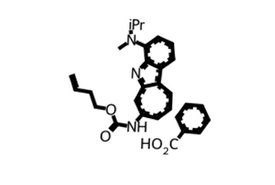 C=CCCOC(=O)Nc1cccc2c3cccc(N(C)C(C)C)c3nc-2c1.O=C(O)c1ccccc1